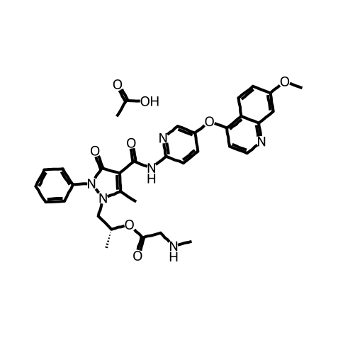 CC(=O)O.CNCC(=O)O[C@H](C)Cn1c(C)c(C(=O)Nc2ccc(Oc3ccnc4cc(OC)ccc34)cn2)c(=O)n1-c1ccccc1